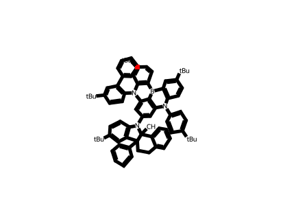 CC(C)(C)c1ccc(N2c3ccc(C(C)(C)C)cc3B3c4ccc(C(C)(C)C)cc4N(c4ccc(C(C)(C)C)cc4-c4ccccc4)c4cc(N5c6ccc(C(C)(C)C)cc6C6(c7ccccc7)CCc7ccccc7C56C)cc2c43)cc1